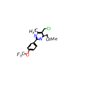 COCc1nc(-c2ccc(OC(F)(F)F)cc2)nc(C)c1CCl